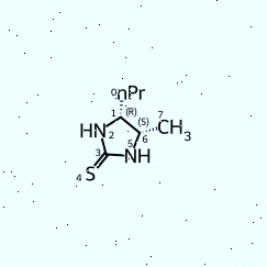 CCC[C@H]1NC(=S)N[C@H]1C